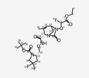 CCOC(=O)[C@H](F)ON1C(=O)N2CC1C=C(C)[C@H]2C(=O)NOC[C@@H]1CC(F)(F)CN1C(=O)OC(C)(C)C